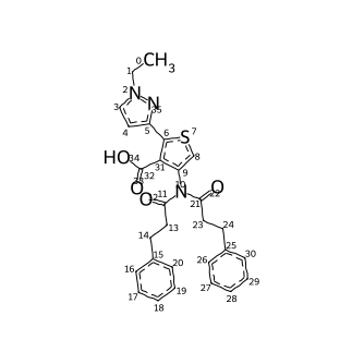 CCn1ccc(-c2scc(N(C(=O)CCc3ccccc3)C(=O)CCc3ccccc3)c2C(=O)O)n1